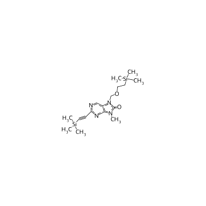 Cn1c(=O)n(COCC[Si](C)(C)C)c2cnc(C#C[Si](C)(C)C)nc21